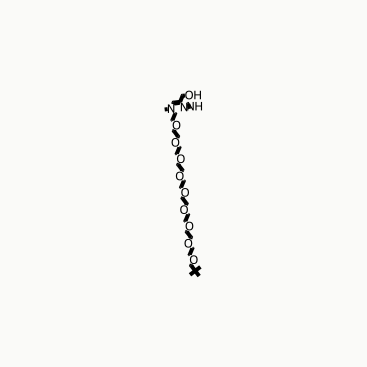 CN(/C=C(/CO)N=N)CCOCCOCCOCCOCCOCCOCCOCCOCCOCC(C)(C)C